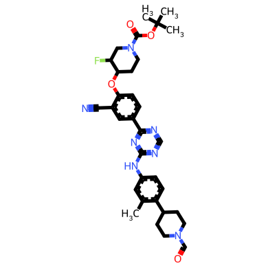 Cc1cc(Nc2ncnc(-c3ccc(OC4CCN(C(=O)OC(C)(C)C)CC4F)c(C#N)c3)n2)ccc1C1CCN(C=O)CC1